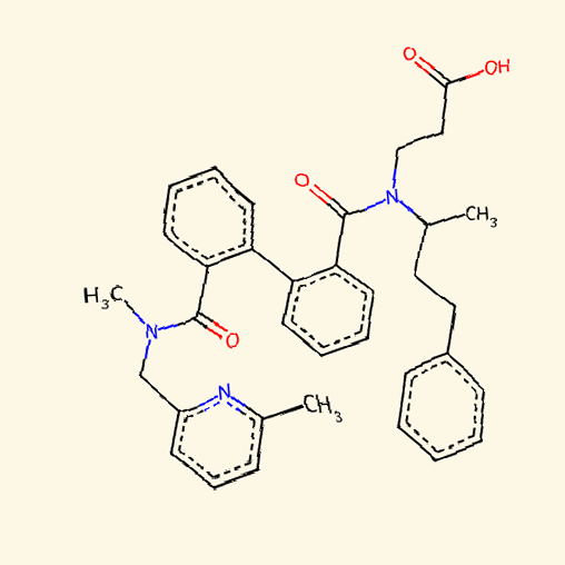 Cc1cccc(CN(C)C(=O)c2ccccc2-c2ccccc2C(=O)N(CCC(=O)O)C(C)CCc2ccccc2)n1